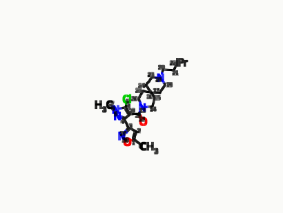 Cc1cc(-c2nn(C)c(Cl)c2C(=O)N2CCC3(CCN(CCC(C)C)CC3)CC2)no1